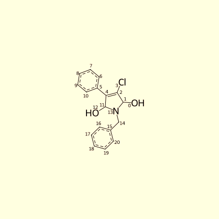 OC1C(Cl)=C(c2ccccc2)C(O)N1Cc1ccccc1